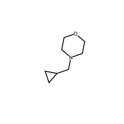 [CH]1CN(CC2CC2)CCO1